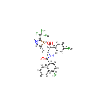 O=C(NC(Cc1cnc(C(F)(F)F)s1)C(O)c1ccc(F)cc1)c1ccc(F)c2ccccc12